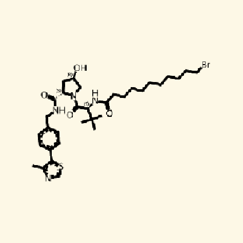 Cc1ncsc1-c1ccc(CNC(=O)[C@@H]2C[C@@H](O)CN2C(=O)[C@@H](NC(=O)CCCCCCCCCCBr)C(C)(C)C)cc1